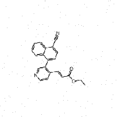 CCOC(=O)C=Cc1ccncc1-c1ccc(C#N)c2ccccc12